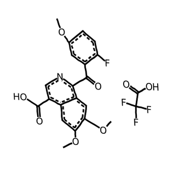 COc1ccc(F)c(C(=O)c2ncc(C(=O)O)c3cc(OC)c(OC)cc23)c1.O=C(O)C(F)(F)F